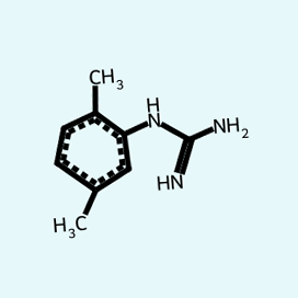 Cc1ccc(C)c(NC(=N)N)c1